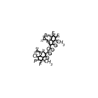 Cc1c(F)c(F)c(Cl)c2c1c(=O)c(C(=O)OC(=O)c1cn(C3CC3)c3c(Br)c(F)c(F)c(C)c3c1=O)cn2C1CC1